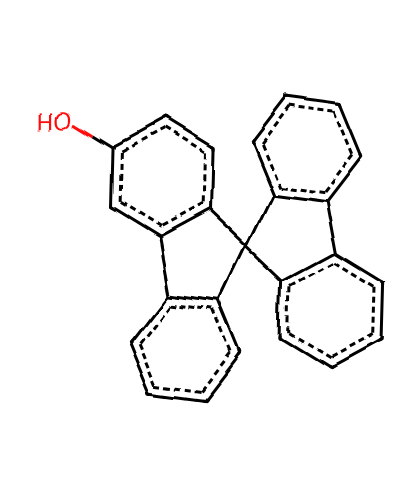 Oc1ccc2c(c1)-c1ccccc1C21c2ccccc2-c2ccccc21